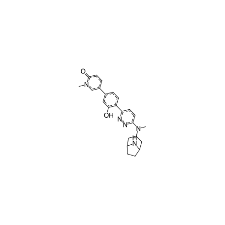 CN(c1ccc(-c2ccc(-c3ccc(=O)n(C)c3)cc2O)nn1)C1CC2CCC(C1)N2